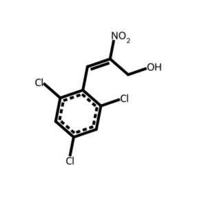 O=[N+]([O-])C(=Cc1c(Cl)cc(Cl)cc1Cl)CO